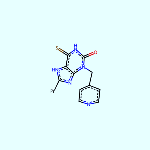 CC(C)c1nc2c([nH]1)c(=S)[nH]c(=O)n2Cc1ccncc1